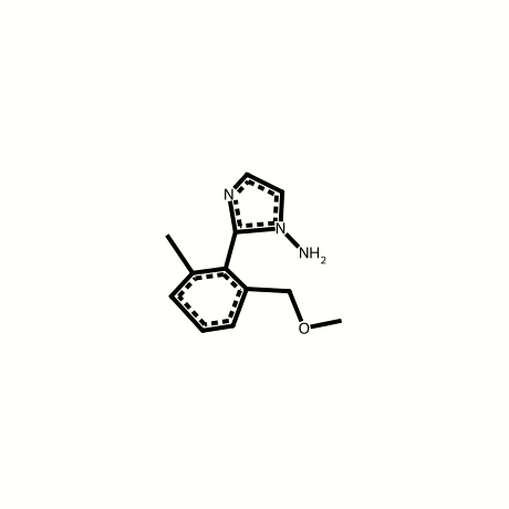 COCc1cccc(C)c1-c1nccn1N